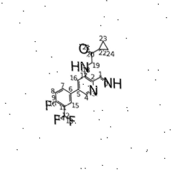 N=Cc1ncc(-c2ccc(F)c(C(F)F)c2)cc1NCC(=O)C1CC1